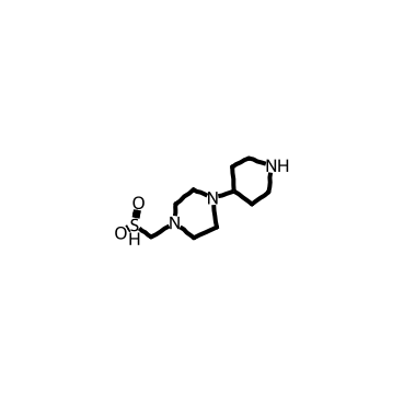 O=[SH](=O)CN1CCN(C2CCNCC2)CC1